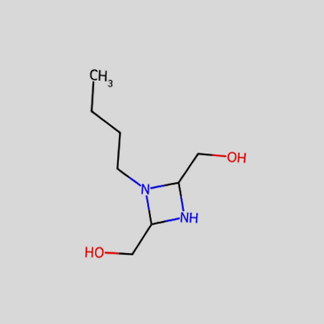 CCCCN1C(CO)NC1CO